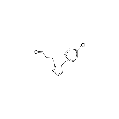 O=CCCc1sccc1-c1ccc(Cl)cc1